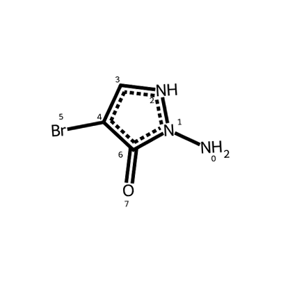 Nn1[nH]cc(Br)c1=O